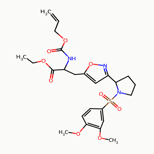 C=CCOC(=O)NC(Cc1cc(C2CCCN2S(=O)(=O)c2ccc(OC)c(OC)c2)no1)C(=O)OCC